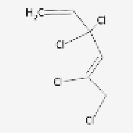 C=CC(Cl)(Cl)C=C(Cl)CCl